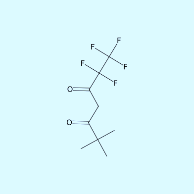 CC(C)(C)C(=O)CC(=O)C(F)(F)C(F)(F)F